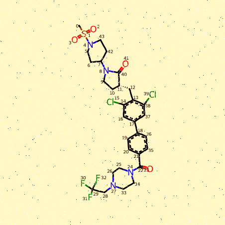 CS(=O)(=O)N1CCC(N2CC[C@@H](Cc3c(Cl)cc(-c4ccc(C(=O)N5CCN(CC(F)(F)F)CC5)cc4)cc3Cl)C2=O)CC1